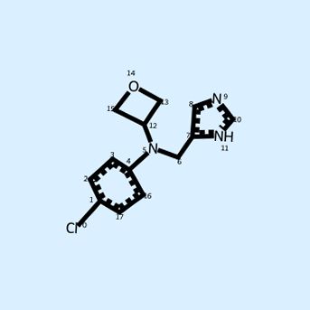 Clc1ccc(N(Cc2cnc[nH]2)C2COC2)cc1